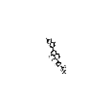 Cc1cn2cc(-c3cc(F)c4c(=O)n([C@@H]5CN(C(=O)OC(C)(C)C)C[C@@H]5C)ccc4c3)cc(F)c2n1